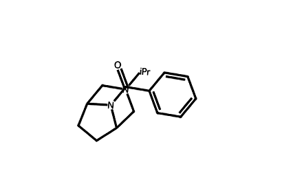 CC(C)N1CC2CCC(C1)N2C(=O)c1ccccc1